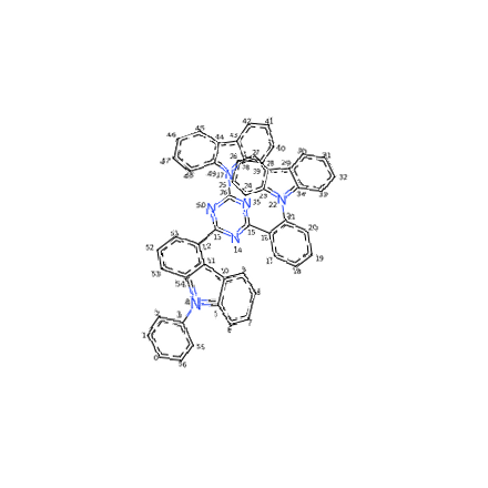 c1ccc(-n2c3ccccc3c3c(-c4nc(-c5ccccc5-n5c6ccccc6c6ccccc65)nc(-n5c6ccccc6c6ccccc65)n4)cccc32)cc1